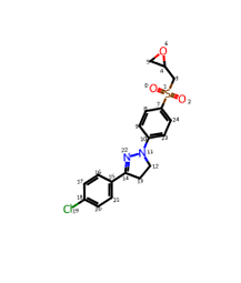 O=S(=O)(CC1CO1)c1ccc(N2CCC(c3ccc(Cl)cc3)=N2)cc1